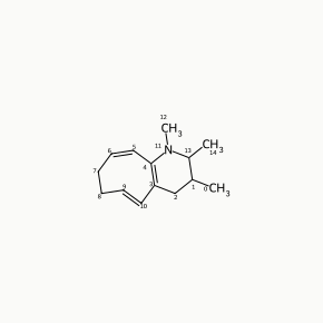 CC1CC2=C(/C=C\CC/C=C/2)N(C)C1C